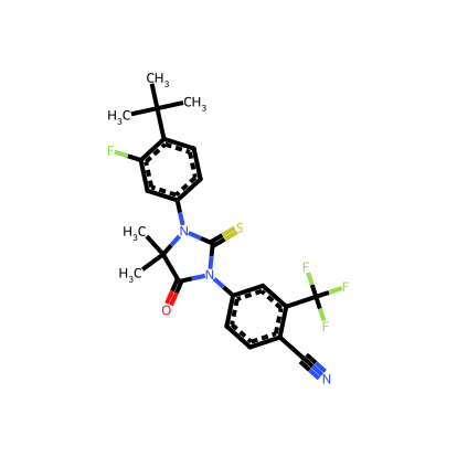 CC(C)(C)c1ccc(N2C(=S)N(c3ccc(C#N)c(C(F)(F)F)c3)C(=O)C2(C)C)cc1F